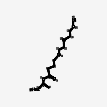 CCCCCCC(C)OC(=O)CCCOCCOCCOCC